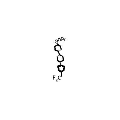 CCCO[C@H]1CC[C@H]([C@H]2CC[C@H](c3ccc(CC(F)(F)F)cc3)CC2)CC1